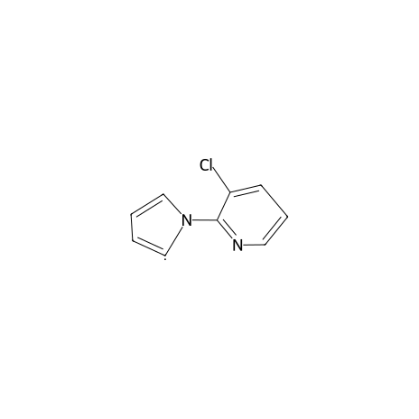 Clc1cccnc1-n1[c]ccc1